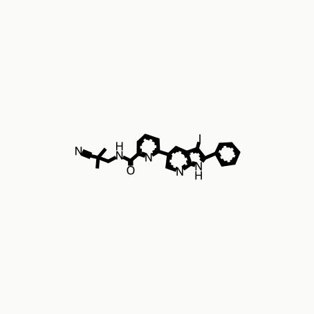 CC(C)(C#N)CNC(=O)c1cccc(-c2cnc3[nH]c(-c4ccccc4)c(I)c3c2)n1